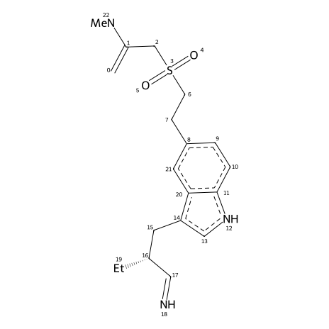 C=C(CS(=O)(=O)CCc1ccc2[nH]cc(C[C@H](C=N)CC)c2c1)NC